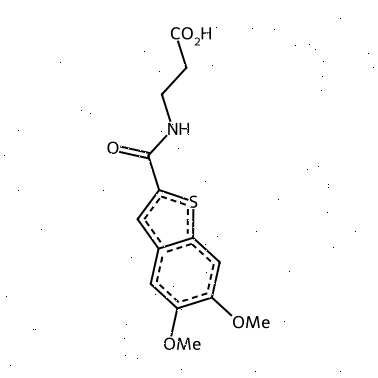 COc1cc2cc(C(=O)NCCC(=O)O)sc2cc1OC